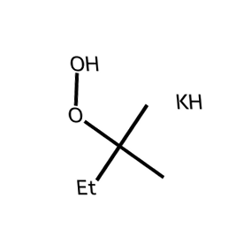 CCC(C)(C)OO.[KH]